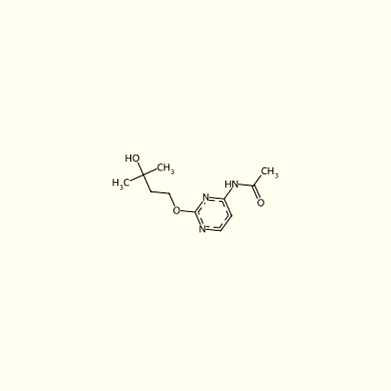 CC(=O)Nc1ccnc(OCCC(C)(C)O)n1